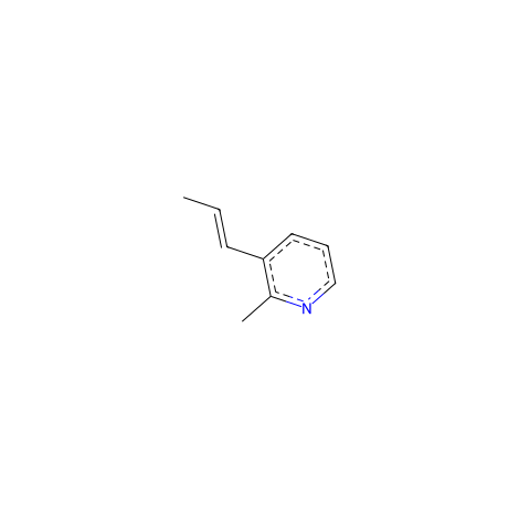 CC=Cc1cccnc1C